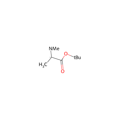 CN[C](C)C(=O)OC(C)(C)C